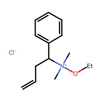 C=CCC(c1ccccc1)[N+](C)(C)OCC.[Cl-]